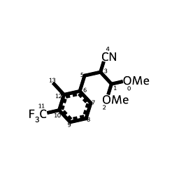 COC(OC)C(C#N)Cc1cccc(C(F)(F)F)c1C